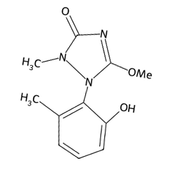 COc1nc(=O)n(C)n1-c1c(C)cccc1O